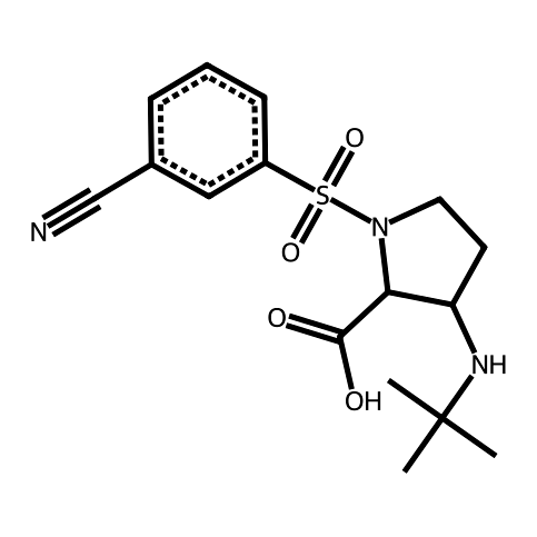 CC(C)(C)NC1CCN(S(=O)(=O)c2cccc(C#N)c2)C1C(=O)O